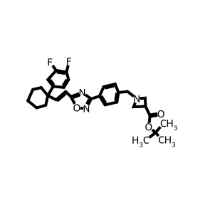 CC(C)(C)OC(=O)C1CN(Cc2ccc(-c3noc(/C=C/C4(c5ccc(F)c(F)c5)CCCCC4)n3)cc2)C1